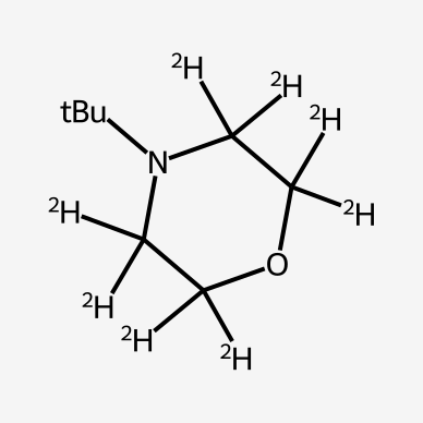 [2H]C1([2H])OC([2H])([2H])C([2H])([2H])N(C(C)(C)C)C1([2H])[2H]